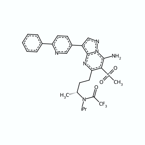 CC(C)N(C(=O)C(F)(F)F)[C@H](C)CCc1nc2c(-c3ccc(-c4ccccc4)nc3)cnn2c(N)c1S(C)(=O)=O